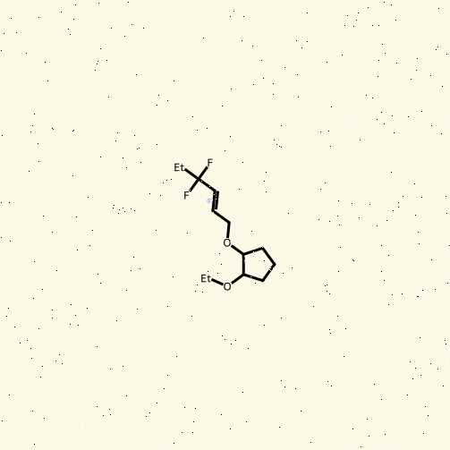 CCOC1CCCC1OC/C=C/C(F)(F)CC